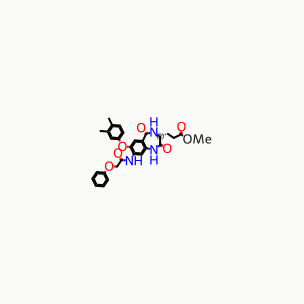 COC(=O)CC[C@H]1NC(=O)c2cc(Oc3ccc(C)c(C)c3)c(NC(=O)COc3ccccc3)cc2NC1=O